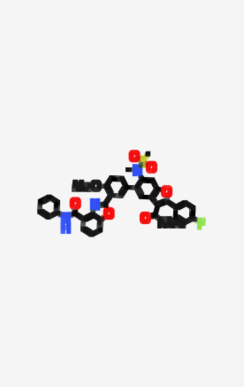 CNC(=O)c1c(-c2ccc(F)cc2)oc2cc(N(C)S(C)(=O)=O)c(-c3ccc(OC)c(-c4nc5c(C(=O)Nc6ccccc6)cccc5o4)c3)cc12